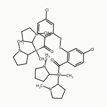 CN1CCCC1[N+](C)(C(=O)c1ccc(Cl)cc1SSc1cc(Cl)ccc1C(=O)[N+](C)(C1CCCN1C)C1CCCN1C)C1CCCN1C